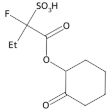 CCC(F)(C(=O)OC1CCCCC1=O)S(=O)(=O)O